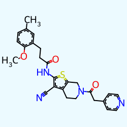 COc1ccc(C)cc1CCC(=O)Nc1sc2c(c1C#N)CCN(C(=O)Cc1ccncc1)C2